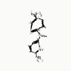 Nc1ccc(Nc2cccc(N)n2)cc1